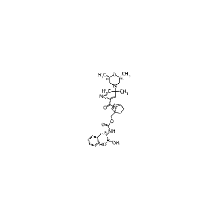 C[C@@H]1CN(C(C)(C)C=C(C#N)C(=O)N2C3CCC2(COC(=O)N[C@@H](Cc2ccccc2)B(O)O)CC3)C[C@@H](C)O1